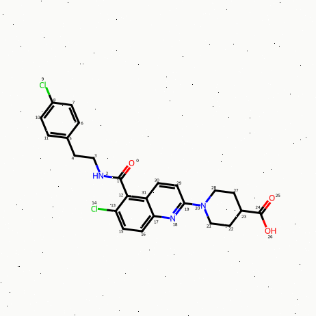 O=C(NCCc1ccc(Cl)cc1)c1c(Cl)ccc2nc(N3CCC(C(=O)O)CC3)ccc12